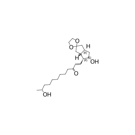 CC(O)CCCCCCCC(=O)C=C[C@H]1[C@@H]2CC3(C[C@H]2C[C@@H]1O)OCCO3